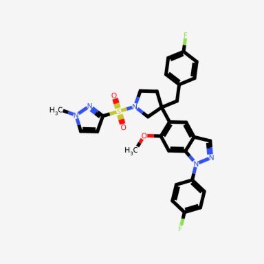 COc1cc2c(cnn2-c2ccc(F)cc2)cc1C1(Cc2ccc(F)cc2)CCN(S(=O)(=O)c2ccn(C)n2)C1